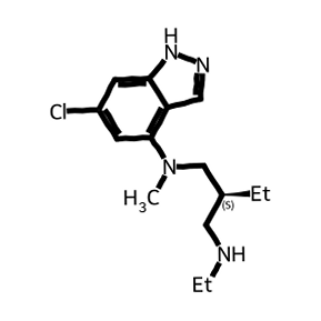 CCNC[C@H](CC)CN(C)c1cc(Cl)cc2[nH]ncc12